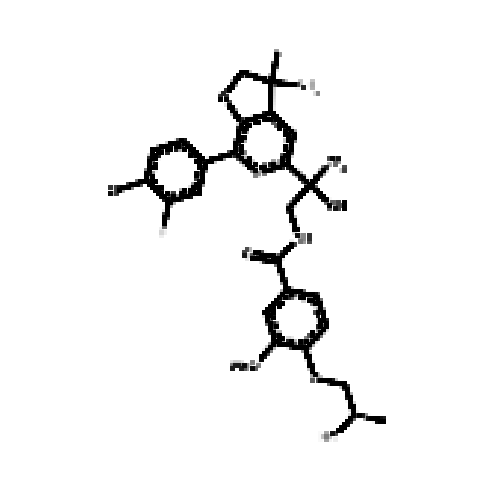 COc1cc(C(=O)NCC(O)(c2cc3c(c(-c4ccc(Cl)c(F)c4)n2)OCC3(C)N)C(F)(F)F)ccc1OC[C@@H](C)O